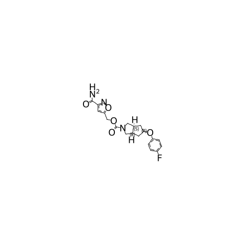 NC(=O)c1cc(COC(=O)N2C[C@H]3C[C@@H](Oc4ccc(F)cc4)C[C@H]3C2)on1